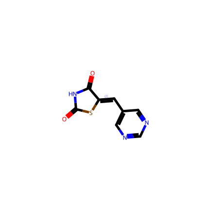 O=C1NC(=O)/C(=C/c2cncnc2)S1